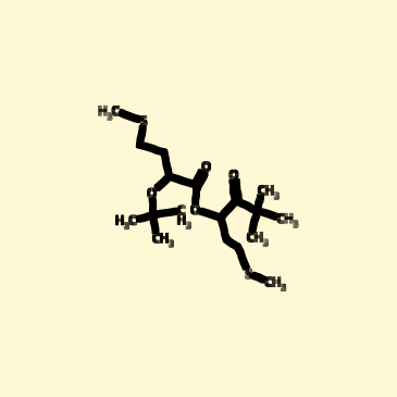 CSCCC(OC(C)(C)C)C(=O)OC(CCSC)C(=O)C(C)(C)C